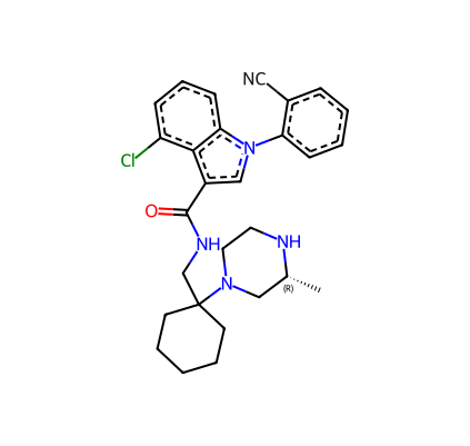 C[C@@H]1CN(C2(CNC(=O)c3cn(-c4ccccc4C#N)c4cccc(Cl)c34)CCCCC2)CCN1